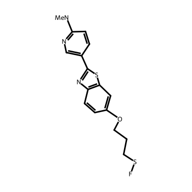 CNc1ccc(-c2nc3ccc(OCCCSF)cc3s2)cn1